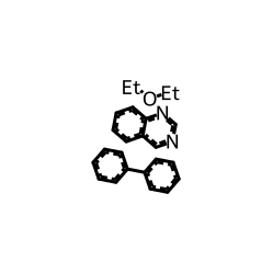 CCOCC.c1ccc(-c2ccccc2)cc1.c1ccc2ncncc2c1